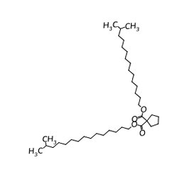 CC(C)CCCCCCCCCCCCCOC(=O)C1(C(=O)OCCCCCCCCCCCCCC(C)C)CCCC1